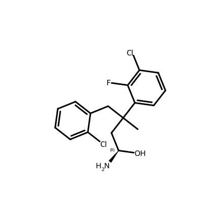 CC(Cc1ccccc1Cl)(C[C@H](N)O)c1cccc(Cl)c1F